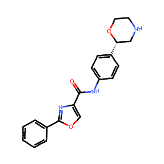 O=C(Nc1ccc([C@H]2CNCCO2)cc1)c1coc(-c2ccccc2)n1